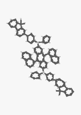 CC1(C)c2ccccc2-c2ccc(-c3ccc(N(c4ccccc4)c4ccc5c(-c6cccc7ccccc67)c6cc(N(C7=CCC(c8ccc9c(c8)C(C)(C)c8ccccc8-9)C=C7)c7ccccc7)ccc6c(-c6cccc7ccccc67)c5c4)cc3)cc21